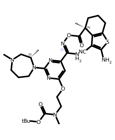 C[C@H]1CN(C)CCCN1c1nc(OCCN(C)C(=O)OC(C)(C)C)cc(/C(N)=N/OC(=O)[C@@]2(C)CCCc3sc(N)c(C#N)c32)n1